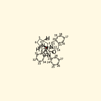 O=C(N1C[C@H]2CC[C@@H](C1)N2C(=O)N1CCc2ccccc2C1)N(c1ccccc1)c1ccccc1